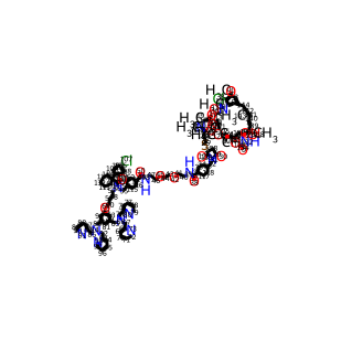 COc1cc2cc(c1Cl)N(C)C(=O)C[C@H](OC(=O)[C@@H](C)N(C)C(=O)CCSC1CC(=O)N(CC3CCC(C(=O)NCCOCCOCCNC(=O)c4ccc(CN(CCCCOc5cc(CN(Cc6ccccn6)Cc6ccccn6)cc(CN(Cc6ccccn6)Cc6ccccn6)c5)C(=O)C5(c6ccc(Cl)cc6)CCCCC5)cc4)CC3)C1=O)[C@](C)(OC)C[C@H](C)[C@@H]1C[C@@](O)(NC(=O)O1)[C@H](OC)/C=C/C=C(\C)C2